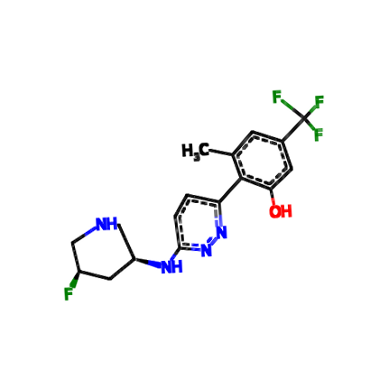 Cc1cc(C(F)(F)F)cc(O)c1-c1ccc(N[C@@H]2CNC[C@H](F)C2)nn1